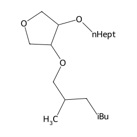 CCCCCCCOC1COCC1OCC(C)CC(C)CC